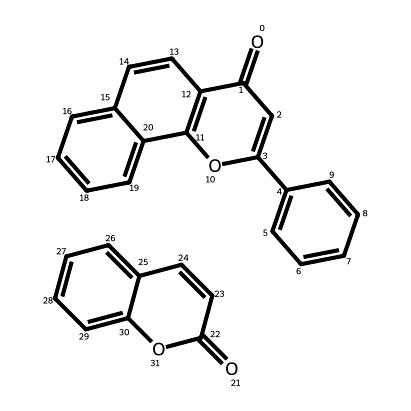 O=c1cc(-c2ccccc2)oc2c1ccc1ccccc12.O=c1ccc2ccccc2o1